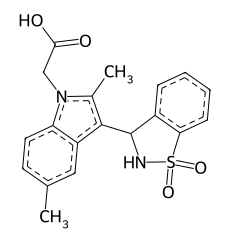 Cc1ccc2c(c1)c(C1NS(=O)(=O)c3ccccc31)c(C)n2CC(=O)O